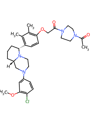 COc1cc(N2CCN3[C@@H](CCC[C@@H]3c3ccc(OCC(=O)N4CCN(C(C)=O)CC4)c(C)c3C)C2)ccc1Cl